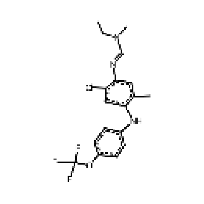 CCN(C)C=Nc1cc(C)c(Nc2ccc(OC(F)(F)F)cc2)cc1Cl